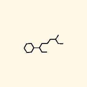 CC[C](CCCC(C)CC)C1CCCCC1